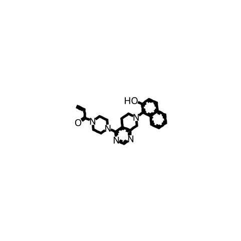 C=CC(=O)N1CCN(c2ncnc3c2CCN(c2c(O)ccc4ccccc24)C3)CC1